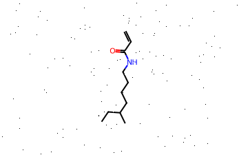 C=CC(=O)NCCCCC(C)CC